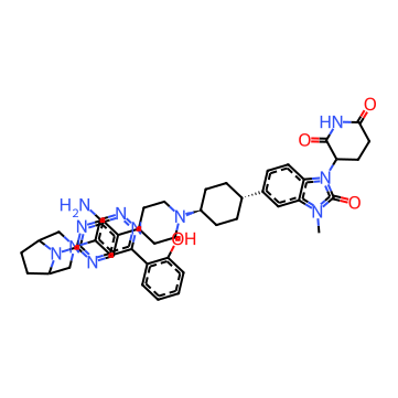 Cn1c(=O)n(C2CCC(=O)NC2=O)c2ccc([C@H]3CC[C@H](N4CCC(c5cnc(N6C7CCC6CN(c6cc(-c8ccccc8O)nnc6N)C7)nc5)CC4)CC3)cc21